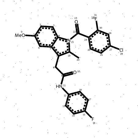 COc1ccc2c(c1)c(CC(=O)Nc1ccc(F)cc1)c(C)n2C(=O)c1ccc(Cl)cc1[18F]